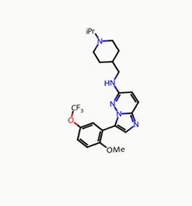 COc1ccc(OC(F)(F)F)cc1-c1cnc2ccc(NCC3CCN(C(C)C)CC3)nn12